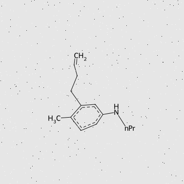 C=CCCc1cc(NCCC)ccc1C